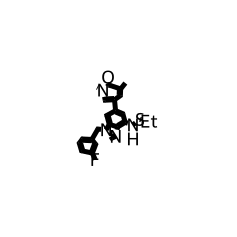 CCSNc1cc(-c2cc(C)c(=O)n(C)c2)cc2c1ncn2Cc1cccc(F)c1